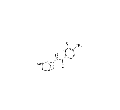 O=C(NC1CC2CNC1C2)c1ccc(C(F)(F)F)c(F)n1